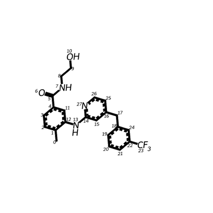 Cc1ccc(C(=O)NCCO)cc1Nc1cc(Cc2cccc(C(F)(F)F)c2)ccn1